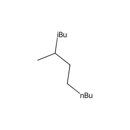 [CH2]CCCCCC(C)C(C)CC